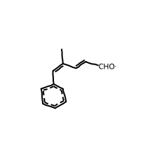 CC(C=C[C]=O)=Cc1ccccc1